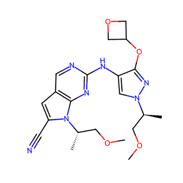 COC[C@H](C)n1cc(Nc2ncc3cc(C#N)n([C@@H](C)COC)c3n2)c(OC2COC2)n1